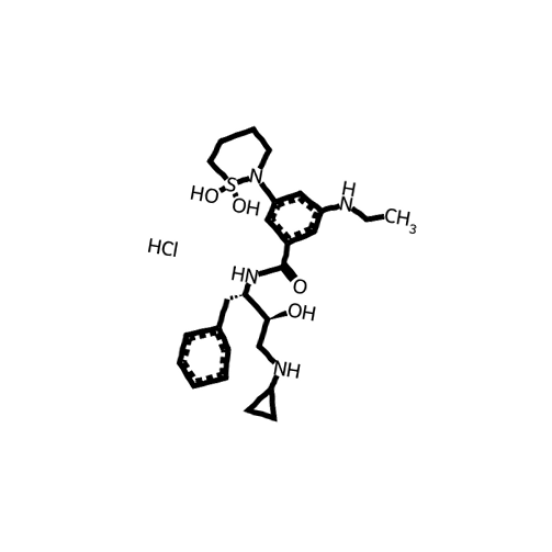 CCNc1cc(C(=O)N[C@@H](Cc2ccccc2)[C@@H](O)CNC2CC2)cc(N2CCCCS2(O)O)c1.Cl